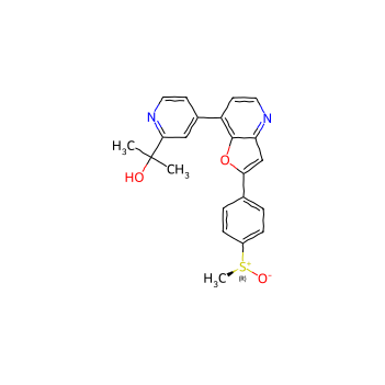 C[S@+]([O-])c1ccc(-c2cc3nccc(-c4ccnc(C(C)(C)O)c4)c3o2)cc1